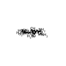 COc1cc(Cc2cnc(N)nc2N)cc(OC)c1OCCCCC(C)(C)[Si](C)(C)O